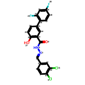 O=C(NN=Cc1ccc(Cl)c(Cl)c1)c1cc(-c2ccc(F)cc2F)ccc1O